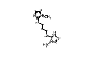 CN1C=NNN1SCCCSc1nccn1C